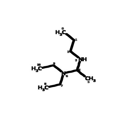 CC[CH]NC(C)N(CC)CC